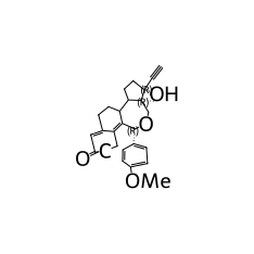 C#C[C@]1(O)CCC2C3CCC4=CC(=O)CCC4=C3[C@@H](c3ccc(OC)cc3)OC[C@@]21C